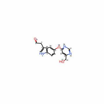 O=CCc1c[nH]c2ccc(Oc3cc(CO)ncn3)cc12